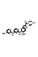 Cl.O=C(c1cc2cc(Nc3nccc(Nc4cccc(O)c4)n3)ccc2o1)N1CCNCC1